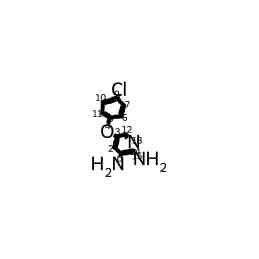 Nc1cc(Oc2ccc(Cl)cc2)cnc1N